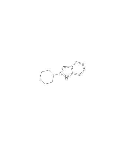 c1ccc2nn(C3CCCCC3)cc2c1